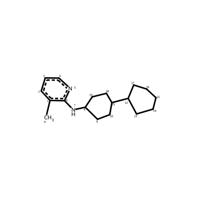 Cc1cccnc1NC1CCC(C2CCCCC2)CC1